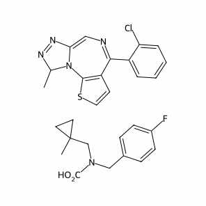 CC1(CN(Cc2ccc(F)cc2)C(=O)O)CC1.CC1N=NC2=CN=C(c3ccccc3Cl)c3ccsc3N21